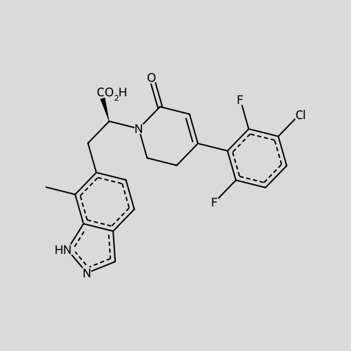 Cc1c(C[C@@H](C(=O)O)N2CCC(c3c(F)ccc(Cl)c3F)=CC2=O)ccc2cn[nH]c12